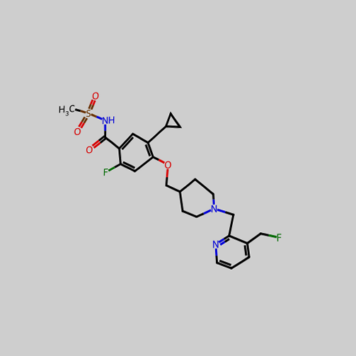 CS(=O)(=O)NC(=O)c1cc(C2CC2)c(OCC2CCN(Cc3ncccc3CF)CC2)cc1F